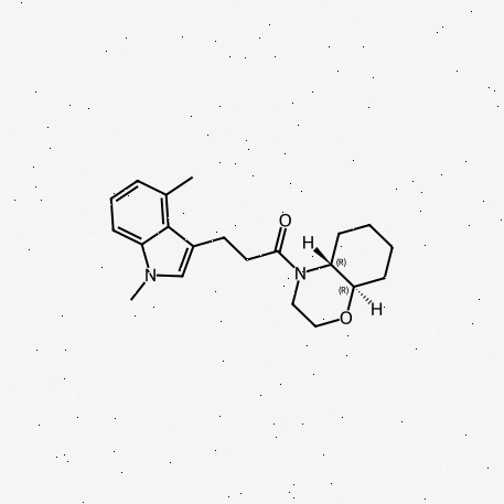 Cc1cccc2c1c(CCC(=O)N1CCO[C@@H]3CCCC[C@H]31)cn2C